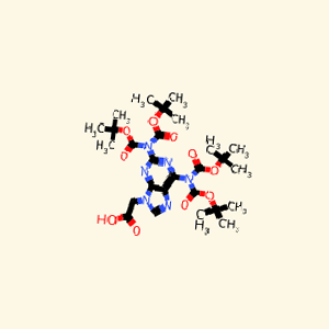 CC(C)(C)OC(=O)N(C(=O)OC(C)(C)C)c1nc(N(C(=O)OC(C)(C)C)C(=O)OC(C)(C)C)c2ncn(CC(=O)O)c2n1